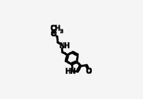 COCCNCc1ccc2c(C=O)c[nH]c2c1